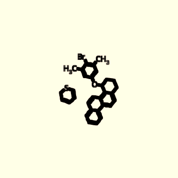 C1=CCSC=C1.Cc1cc(OC2CCCc3ccc4c(ccc5ccccc54)c32)cc(C)c1Br